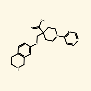 O=C(O)C1(COc2ccc3c(c2)CNCC3)CCN(c2ccncn2)CC1